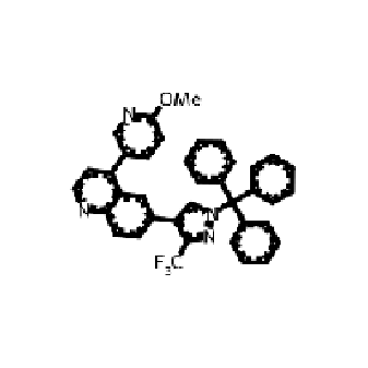 COc1ccc(-c2ccnc3ccc(-c4cn(C(c5ccccc5)(c5ccccc5)c5ccccc5)nc4C(F)(F)F)cc23)cn1